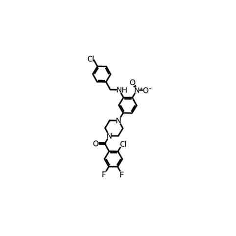 O=C(c1cc(F)c(F)cc1Cl)N1CCN(c2ccc([N+](=O)[O-])c(NCc3ccc(Cl)cc3)c2)CC1